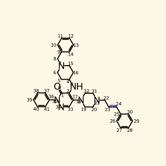 O=c1c(NC2CCN(Cc3ccccc3)CC2)c(N2CCN(C/C=C/c3ccccc3)CC2)cnn1-c1ccccc1